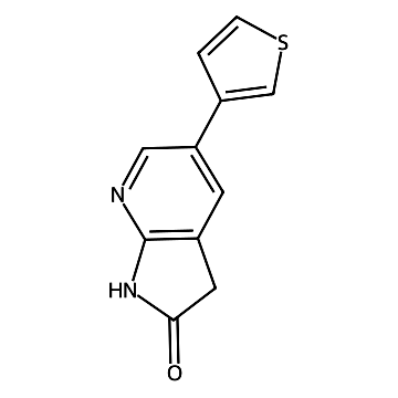 O=C1Cc2cc(-c3ccsc3)cnc2N1